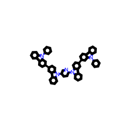 c1ccc(-n2c3ccccc3c3ccc(-c4ccc5c(c4)c4ccccc4n5-c4ccc(-n5c6ccccc6c6cc(-c7ccc8c9ccccc9n(-c9ccccc9)c8c7)ccc65)nc4)cc32)cc1